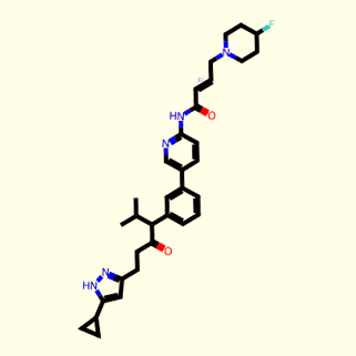 CC(C)C(C(=O)CCc1cc(C2CC2)[nH]n1)c1cccc(-c2ccc(NC(=O)/C=C/CN3CCC(F)CC3)nc2)c1